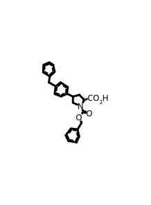 O=C(O)[C@@H]1CC(c2ccc(Cc3ccccc3)cc2)CN1C(=O)OCc1ccccc1